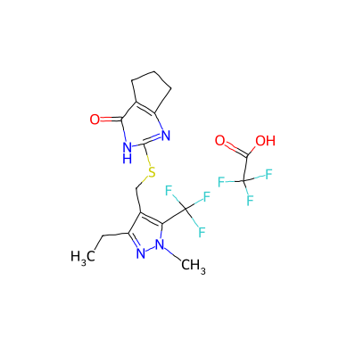 CCc1nn(C)c(C(F)(F)F)c1CSc1nc2c(c(=O)[nH]1)CCC2.O=C(O)C(F)(F)F